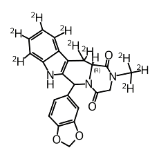 [2H]c1c([2H])c([2H])c2c3c([nH]c2c1[2H])C(c1ccc2c(c1)OCO2)N1C(=O)CN(C([2H])([2H])[2H])C(=O)[C@H]1C3([2H])[2H]